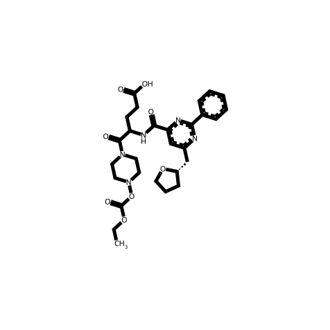 CCOC(=O)ON1CCN(C(=O)C(CCC(=O)O)NC(=O)c2cc(C[C@@H]3CCCO3)nc(-c3ccccc3)n2)CC1